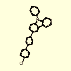 Clc1ccc(-c2ccc(-c3ccc4c(c3)c3ccccc3n4-c3ccccc3)cc2)cc1